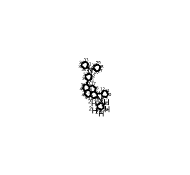 [2H]c1c([2H])c([2H])c(-n2c3ccccc3c3c4ccc5c(-c6ccc(N(c7ccccc7)c7ccccc7)cc6)ccc6ccc(cc32)c4c65)c([2H])c1[2H]